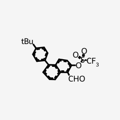 CC(C)(C)c1ccc(-c2cccc3c(C=O)c(OS(=O)(=O)C(F)(F)F)ccc23)cc1